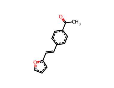 CC(=O)c1ccc(C=Cc2ccco2)cc1